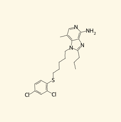 CCCc1nc2c(N)ncc(C)c2n1CCCCCSc1ccc(Cl)cc1Cl